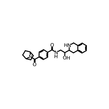 O=C(NCC(O)C1Cc2ccccc2CN1)c1ccc(C(=O)N2C3CCC2CC3)cc1